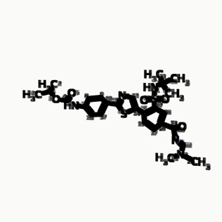 CC(C)OC(=O)Nc1ccc(-c2ncc(-c3ccc(C(=O)/N=C/N(C)C)cc3S(=O)(=O)NC(C)(C)C)s2)cc1